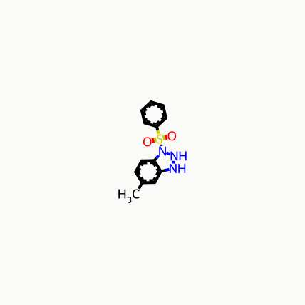 Cc1ccc2c(c1)NNN2S(=O)(=O)c1ccccc1